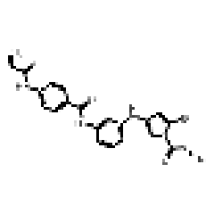 C=CC(=O)Nc1ccc(C(=O)Nc2cccc(Nc3cc(CC)n(C(=O)OC(C)(C)C)n3)c2)cc1